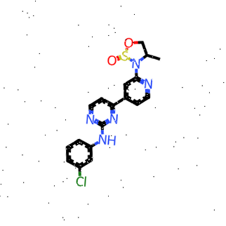 CC1COS(=O)N1c1cc(-c2ccnc(Nc3cccc(Cl)c3)n2)ccn1